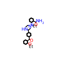 CCOc1ccccc1C(=O)c1ccc(C2CN(N(CC)c3ccccc3C(N)=O)CCN2)cc1